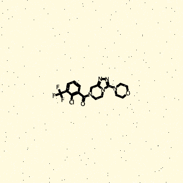 O=C(c1cccc(C(F)(F)F)c1Cl)N1CCn2c(nnc2N2CCOCC2)C1